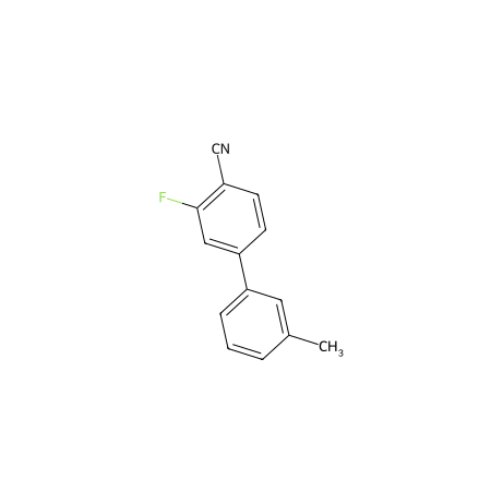 Cc1cccc(-c2ccc(C#N)c(F)c2)c1